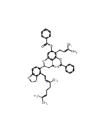 CC(C)=CCC/C(C)=C/Cc1c(C2CC(=O)c3c(cc(OC(=O)c4ccccc4)c(CC=C(C)C)c3OC(=O)c3ccccc3)O2)ccc2c1OCO2